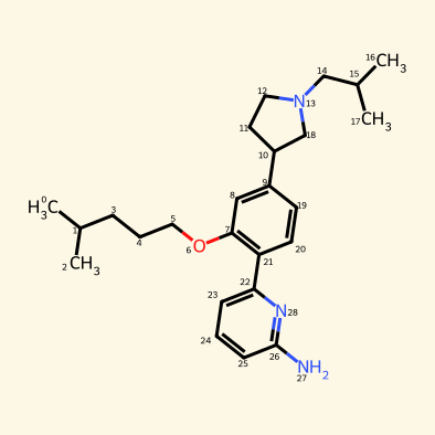 CC(C)CCCOc1cc(C2CCN(CC(C)C)C2)ccc1-c1cccc(N)n1